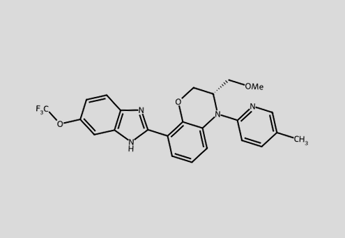 COC[C@H]1COc2c(-c3nc4ccc(OC(F)(F)F)cc4[nH]3)cccc2N1c1ccc(C)cn1